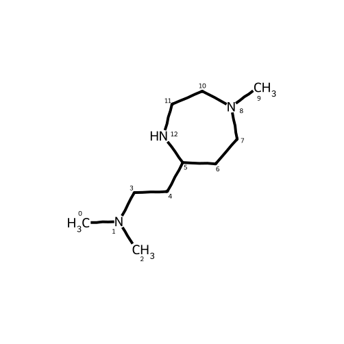 CN(C)CCC1CCN(C)CCN1